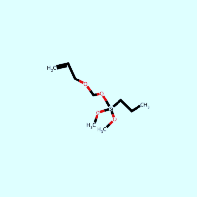 C=CCOCO[Si](CCC)(OC)OC